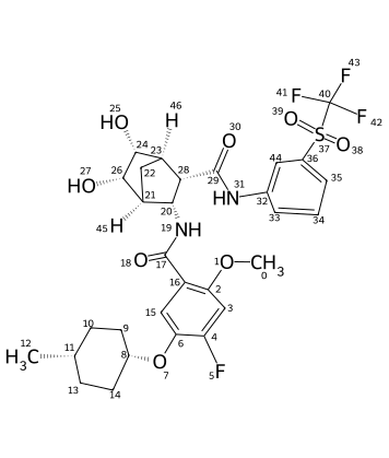 COc1cc(F)c(O[C@H]2CC[C@@H](C)CC2)cc1C(=O)N[C@@H]1[C@@H]2C[C@@H]([C@@H](O)[C@H]2O)[C@@H]1C(=O)Nc1cccc(S(=O)(=O)C(F)(F)F)c1